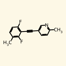 Cc1ccc(C#Cc2c(F)ccc(C)c2F)cn1